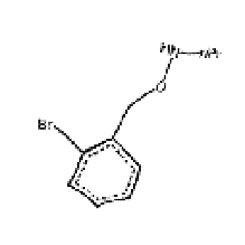 CCCNOCc1ccccc1Br